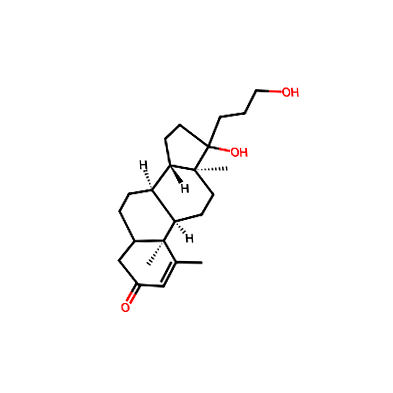 CC1=CC(=O)CC2CC[C@@H]3[C@@H](CC[C@@]4(C)[C@H]3CCC4(O)CCCO)[C@@]12C